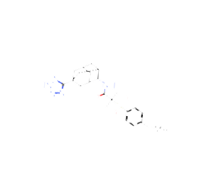 COc1ccc(S(=O)(=O)C(C)(C)C(=O)NC2C3CC4CC2CC(c2nn[nH]n2)(C4)C3)cc1